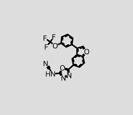 N#CNc1nnc(-c2ccc3occ(-c4cccc(OC(F)(F)F)c4)c3c2)o1